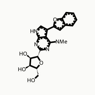 CNc1nc([C@@H]2O[C@H](CO)[C@@H](O)[C@H]2O)nc2[nH]cc(-c3cc4ccccc4o3)c12